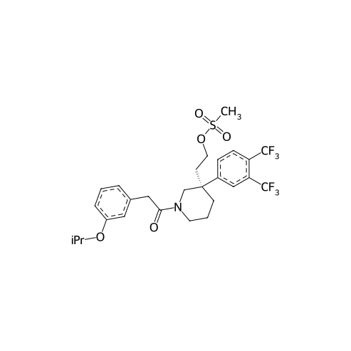 CC(C)Oc1cccc(CC(=O)N2CCC[C@](CCOS(C)(=O)=O)(c3ccc(C(F)(F)F)c(C(F)(F)F)c3)C2)c1